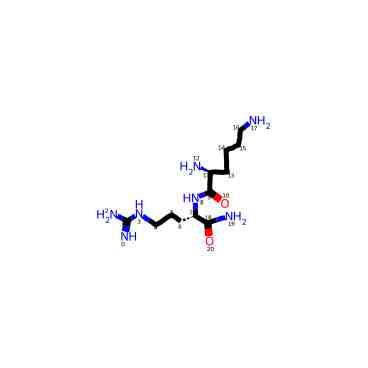 N=C(N)NCCC[C@H](NC(=O)[C@@H](N)CCCCN)C(N)=O